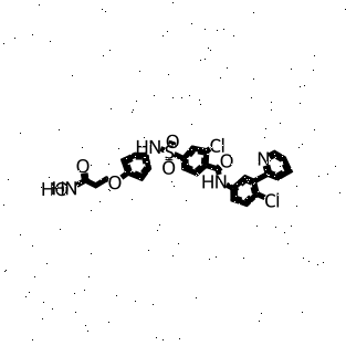 O=C(CCOc1ccc(NS(=O)(=O)c2ccc(C(=O)Nc3ccc(Cl)c(-c4ccccn4)c3)c(Cl)c2)cc1)NO